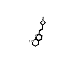 C(=CC1CNC1)c1ccc2c(n1)NCCC2